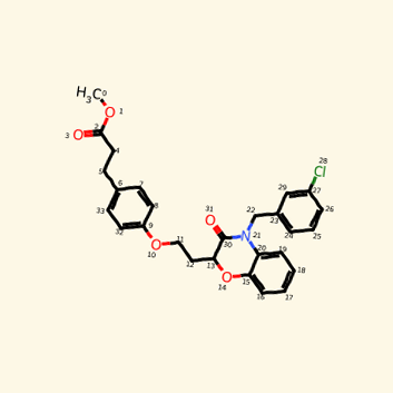 COC(=O)CCc1ccc(OCCC2Oc3ccccc3N(Cc3cccc(Cl)c3)C2=O)cc1